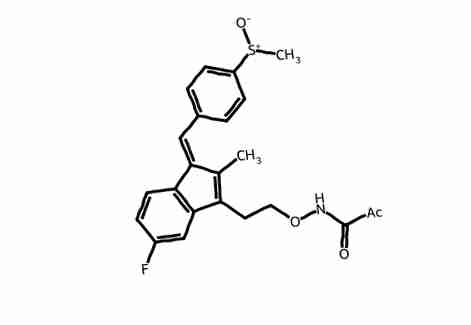 CC(=O)C(=O)NOCCC1=C(C)C(=Cc2ccc([S+](C)[O-])cc2)c2ccc(F)cc21